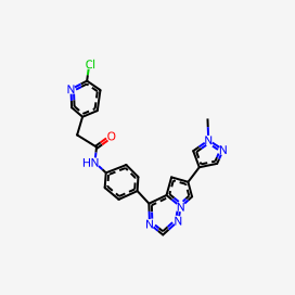 Cn1cc(-c2cc3c(-c4ccc(NC(=O)Cc5ccc(Cl)nc5)cc4)ncnn3c2)cn1